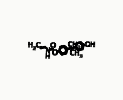 C=CCNC(=O)Oc1ccc(C(C)(C)c2ccc(O)cc2)cc1